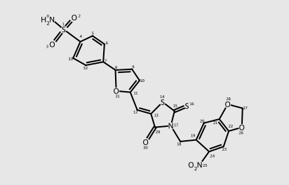 NS(=O)(=O)c1ccc(-c2ccc(C=C3SC(=S)N(Cc4cc5c(cc4[N+](=O)[O-])OCO5)C3=O)o2)cc1